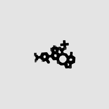 Cc1ccc2c3c1CN(C(=O)OC(C)(C)C)c1c(cc(-c4ccc(C(F)F)nc4C)c4nncn14)OC[C@H]3CO2